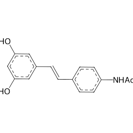 CC(=O)Nc1ccc(/C=C/c2cc(O)cc(O)c2)cc1